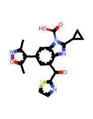 Cc1noc(C)c1-c1cc(C(=O)c2nccs2)c2nc(C3CC3)n(C(=O)O)c2c1